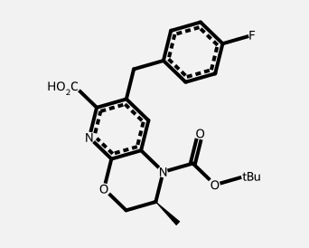 C[C@H]1COc2nc(C(=O)O)c(Cc3ccc(F)cc3)cc2N1C(=O)OC(C)(C)C